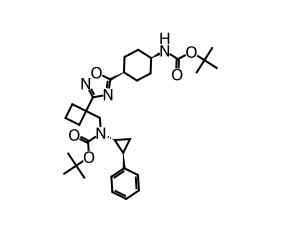 CC(C)(C)OC(=O)N[C@H]1CC[C@@H](c2nc(C3(CN(C(=O)OC(C)(C)C)[C@@H]4C[C@H]4c4ccccc4)CCC3)no2)CC1